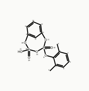 Cc1cccc(C)c1OP1(=O)Oc2cccc(c2)OP(=O)(O)O1